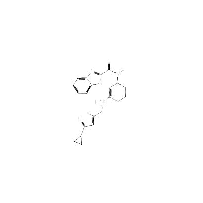 CCN(C(=O)c1nc2ccccc2[nH]1)[C@@H]1C=C(NCc2cc(C3CC3)no2)CCC1